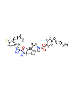 Cc1cc(NC(=O)Nc2ccc3c(c2)CCN(C(=O)OC2CCC(CC(=O)O)CC2)C3)ccc1F